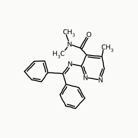 Cc1cnnc(N=C(c2ccccc2)c2ccccc2)c1C(=O)N(C)C